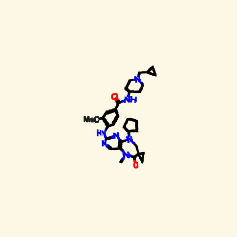 COc1cc(C(=O)NC2CCN(CC3CC3)CC2)ccc1Nc1ncc2c(n1)N(C1CCCC1)CC1(CC1)C(=O)N2C